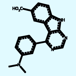 CN(C)c1cccc(-c2ncnc3[nH]c4ccc(C(=O)O)cc4c23)c1